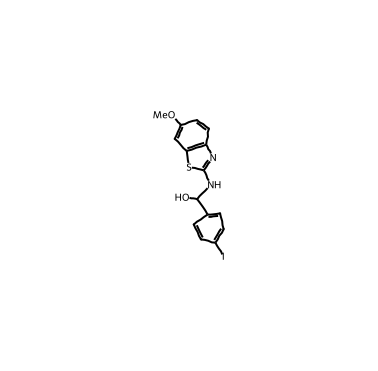 COc1ccc2nc(NC(O)c3ccc(I)cc3)sc2c1